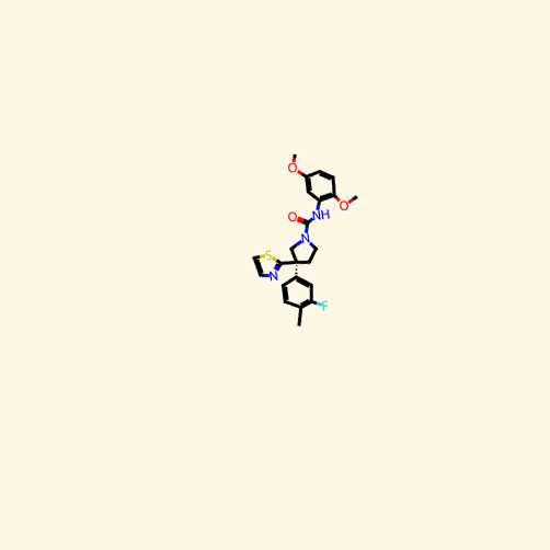 COc1ccc(OC)c(NC(=O)N2CC[C@@](c3ccc(C)c(F)c3)(c3nccs3)C2)c1